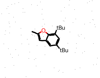 Cc1cc2cc(C(C)(C)C)cc(C(C)(C)C)c2o1